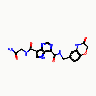 NC(=O)CNC(=O)c1c[nH]c2c(C(=O)NCc3ccc4c(c3)NC(=O)CO4)ncnc12